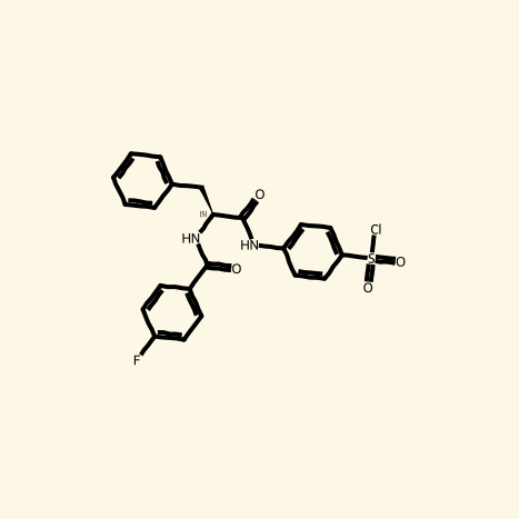 O=C(N[C@@H](Cc1ccccc1)C(=O)Nc1ccc(S(=O)(=O)Cl)cc1)c1ccc(F)cc1